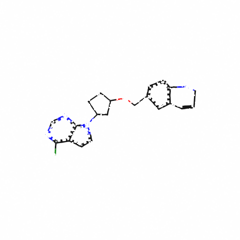 Clc1ncnc2c1ccn2C1CCC(OCc2ccc3c(c2)C=CCN3)C1